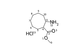 COC(=O)C1CCCCCCC1N.Cl